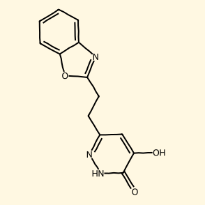 O=c1[nH]nc(CCc2nc3ccccc3o2)cc1O